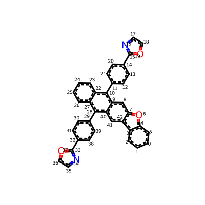 c1ccc2c(c1)oc1cc3c(-c4ccc(-c5ncco5)cc4)c4ccccc4c(-c4ccc(-c5ncco5)cc4)c3cc12